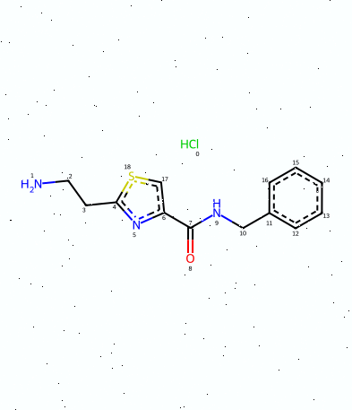 Cl.NCCc1nc(C(=O)NCc2ccccc2)cs1